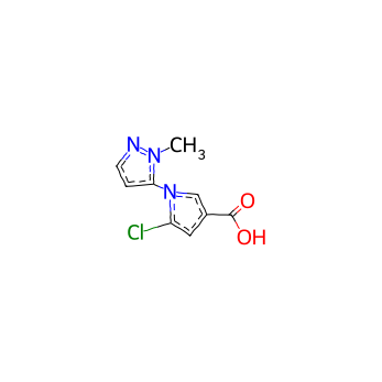 Cn1nccc1-n1cc(C(=O)O)cc1Cl